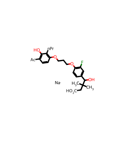 CCCc1c(OCCCOc2ccc(C(O)C(C)(C)CC(=O)O)cc2F)ccc(C(C)=O)c1O.[Na]